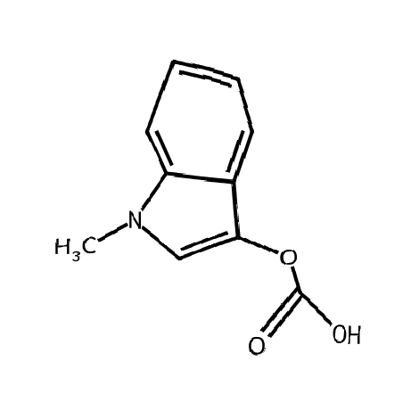 Cn1cc(OC(=O)O)c2ccccc21